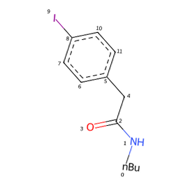 CCCCNC(=O)Cc1ccc(I)cc1